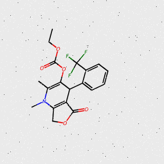 CCOC(=O)OC1=C(C)N(C)C2=C(C(=O)OC2)C1c1ccccc1C(F)(F)F